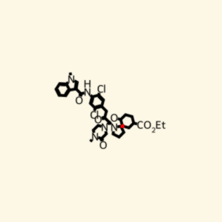 CCOC(=O)C1CCC(OC(C(=O)Cc2cc(Cl)c(NC(=O)c3cn(C)c4ccccc34)cc2Cl)(N2CCCC2)N2CCN(C)C(=O)C2)CC1